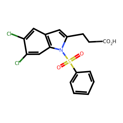 O=C(O)CCc1cc2cc(Cl)c(Cl)cc2n1S(=O)(=O)c1ccccc1